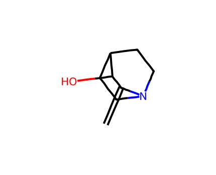 C=C1C(O)C2CCN1CC2